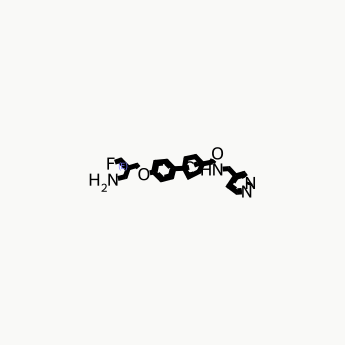 NC/C(=C\F)COc1ccc(C23CCC(C(=O)NCc4ccnnc4)(CC2)CC3)cc1